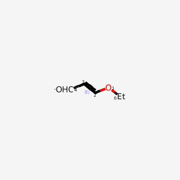 CCO/C=C/[C]=O